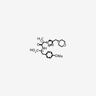 COc1ccc(C[C@H](NC(=O)[C@H](C)n2cc(CN3CCOCC3)nn2)C(=O)O)cc1